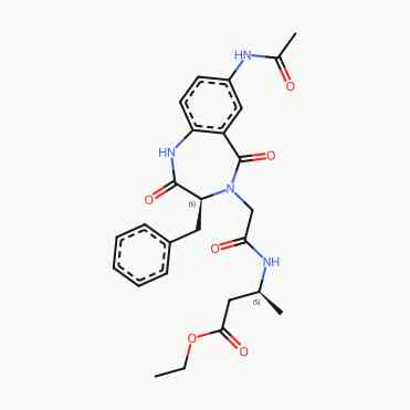 CCOC(=O)C[C@H](C)NC(=O)CN1C(=O)c2cc(NC(C)=O)ccc2NC(=O)[C@@H]1Cc1ccccc1